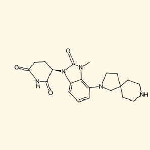 Cn1c(=O)n([C@@H]2CCC(=O)NC2=O)c2cccc(N3CCC4(CCNCC4)C3)c21